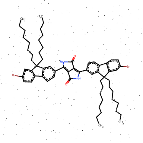 CCCCCCCCC1(CCCCCCCC)c2cc(Br)ccc2-c2ccc(C3=C4C(=O)NC(c5ccc6c(c5)C(CCCCCCCC)(CCCCCCCC)c5cc(Br)ccc5-6)=C4C(=O)N3)cc21